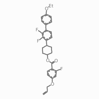 C=CCOc1ccc(C(=O)OC2CCC(c3ccc(-c4ccc(OCC)cc4)c(F)c3F)CC2)c(F)c1